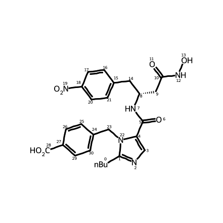 CCCCc1ncc(C(=O)N[C@@H](CC(=O)NO)Cc2ccc([N+](=O)[O-])cc2)n1Cc1ccc(C(=O)O)cc1